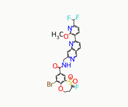 COc1nc(C(F)F)ccc1-c1ccc2cnc(CNC(=O)c3cc(Br)c4c(c3)S(=O)(=O)[C@@H](F)CCO4)cc2n1